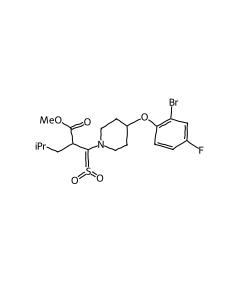 COC(=O)C(CC(C)C)C(N1CCC(Oc2ccc(F)cc2Br)CC1)=S(=O)=O